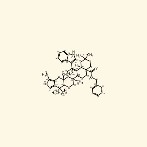 CC1(C)CC[C@]2(C(=O)OCc3ccccc3)CC[C@]3(C)C(=C(c4c[nH]c5ccccc45)CC4[C@@]5(C)Cc6c(n[nH]c6N)C(C)(C)[C@@H]5CC[C@]43C)[C@@H]2C1